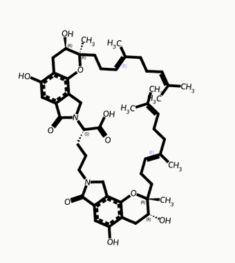 CC(C)=CCC/C(C)=C/CC[C@@]1(C)Oc2c(c(O)cc3c2CN(CCC[C@@H](C(=O)O)N2Cc4c(cc(O)c5c4O[C@](C)(CC/C=C(\C)CCC=C(C)C)[C@H](O)C5)C2=O)C3=O)C[C@H]1O